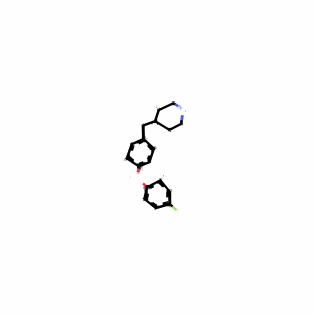 Fc1ccc(Oc2ccc(CC3CCNCC3)cc2)cc1